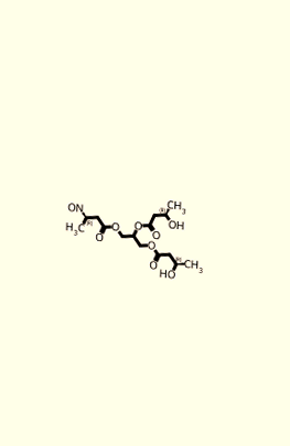 C[C@H](CC(=O)OCC(COC(=O)C[C@@H](C)O)OC(=O)C[C@@H](C)O)N=O